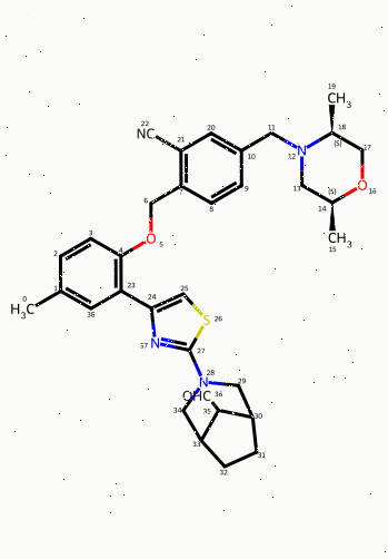 Cc1ccc(OCc2ccc(CN3C[C@H](C)OC[C@@H]3C)cc2C#N)c(-c2csc(N3CC4CCC(C3)C4C=O)n2)c1